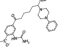 CCCCC(CCCCC(=O)c1ccc([S+](C)[O-])c(NC(N)=O)c1)N1CCN(c2ccccc2)CC1